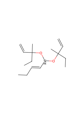 C=CC(C)(CC)O[SiH](C=CCC)OC(C)(C=C)CC